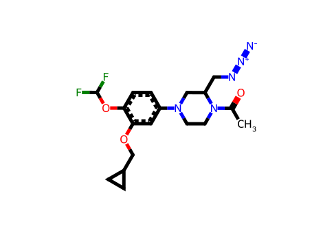 CC(=O)N1CCN(c2ccc(OC(F)F)c(OCC3CC3)c2)CC1CN=[N+]=[N-]